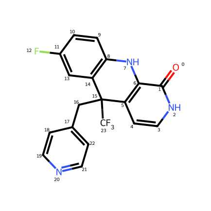 O=c1[nH]ccc2c1Nc1ccc(F)cc1C2(Cc1ccncc1)C(F)(F)F